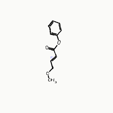 COC/C=C/C(=O)Oc1ccccc1